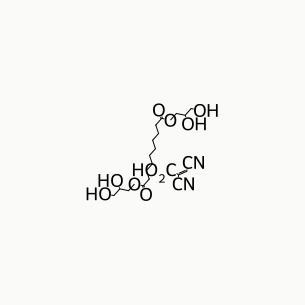 N#CC=C(C#N)C(=O)O.O=C(CCCCCCCCC(=O)OCC(O)CO)OCC(O)CO